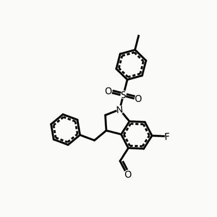 Cc1ccc(S(=O)(=O)N2CC(Cc3ccccc3)c3c(C=O)cc(F)cc32)cc1